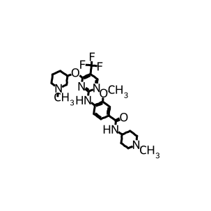 COc1cc(C(=O)NC2CCN(C)CC2)ccc1Nc1ncc(C(F)(F)F)c(OC2CCCN(C)C2)n1